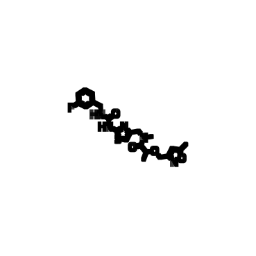 Cc1cc(COC(C)C(=O)N(C)Cc2csc(NC(=O)NCc3cccc(F)c3)n2)no1